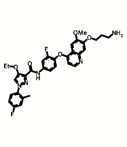 CCOc1cn(-c2ccc(F)cc2C)nc1C(=O)Nc1ccc(Oc2ccnc3cc(OCCCN)c(OC)cc23)c(F)c1